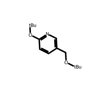 CC(C)(C)OCc1ccc(OC(C)(C)C)nc1